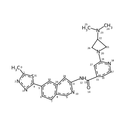 Cc1nnc(-c2ccc3cnc(NC(=O)c4ccnc(N5CC(N(C)C)C5)c4)cc3c2)s1